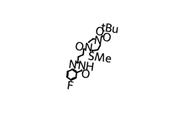 CSC1CCN(C(=O)OC(C)(C)C)CCN1C(=O)CCc1nc2ccc(F)cc2c(=O)[nH]1